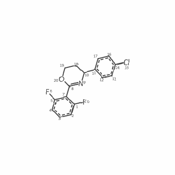 Fc1cccc(F)c1C1=NC(c2ccc(Cl)cc2)CCO1